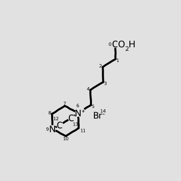 O=C(O)CCCCC[N+]12CCN(CC1)CC2.[Br-]